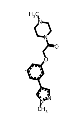 CN1CCN(C(=O)COc2c[c]cc(-c3cnn(C)c3)c2)CC1